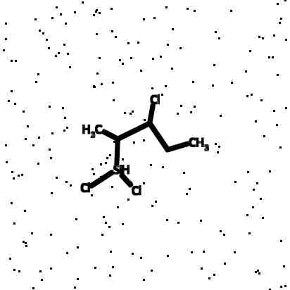 CCC(Cl)C(C)[SiH](Cl)Cl